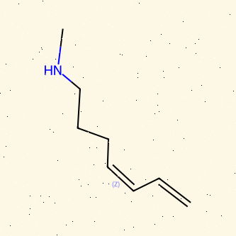 C=C/C=C\CCCNC